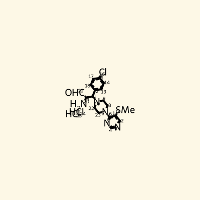 CSc1cncnc1N1CCN(C(c2ccc(Cl)cc2)[C@@H](N)C=O)CC1.Cl.Cl